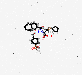 CC(C)(SC1CCCC1)C(NC(=O)c1ccc2ccccc2c1OCc1ccc(S(C)(=O)=O)cc1)C(=O)O